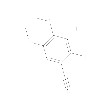 N#Cc1cc2c(c(F)c1I)OCCO2